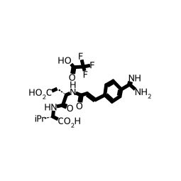 CC(C)[C@H](NC(=O)[C@H](CC(=O)O)NC(=O)C=Cc1ccc(C(=N)N)cc1)C(=O)O.O=C(O)C(F)(F)F